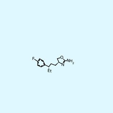 CC[C@@H](CC[C@H]1COC(N)=N1)c1ccc(F)cc1